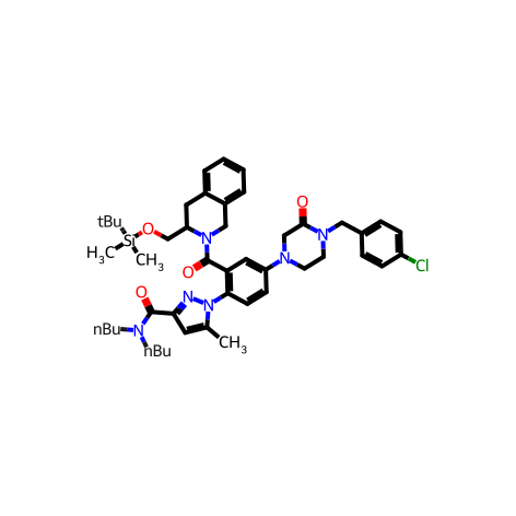 CCCCN(CCCC)C(=O)c1cc(C)n(-c2ccc(N3CCN(Cc4ccc(Cl)cc4)C(=O)C3)cc2C(=O)N2Cc3ccccc3CC2CO[Si](C)(C)C(C)(C)C)n1